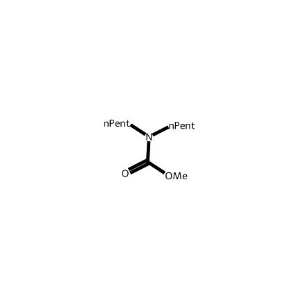 [CH2]OC(=O)N(CCCCC)CCCCC